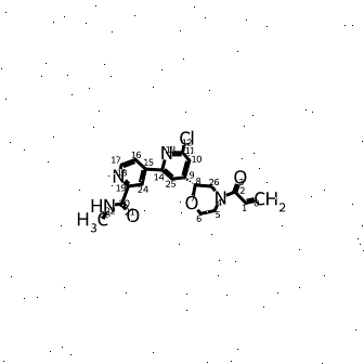 C=CC(=O)N1CCO[C@H](c2cc(Cl)nc(-c3ccnc(C(=O)NC)c3)c2)C1